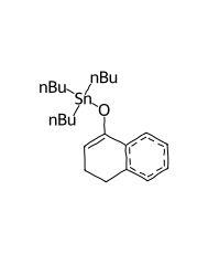 CCC[CH2][Sn]([CH2]CCC)([CH2]CCC)[O]C1=CCCc2ccccc21